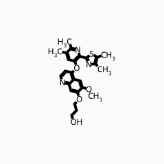 COc1cc2c(Oc3cc(C)c(C)nc3-c3nc(C)c(C)s3)ccnc2cc1OCCCO